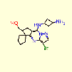 NC1CC(Nc2c3c(nc4c(Br)cnn24)C2(CCCC2)C(CO)C3)C1